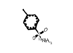 Cc1ccc(S([15NH2])(=O)=O)cc1